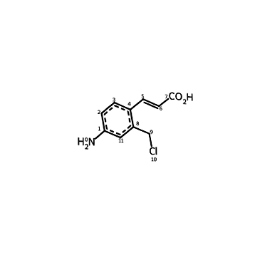 Nc1ccc(C=CC(=O)O)c(CCl)c1